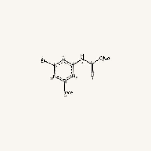 CCc1nc(NC(=O)OC)nc(SC)n1